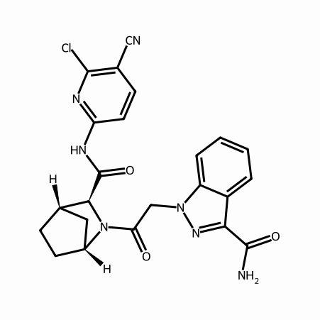 N#Cc1ccc(NC(=O)[C@@H]2[C@H]3CC[C@H](C3)N2C(=O)Cn2nc(C(N)=O)c3ccccc32)nc1Cl